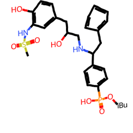 CCC(C)OP(=O)(O)c1ccc(C(Cc2ccccc2)NCC(O)Cc2ccc(O)c(NS(C)(=O)=O)c2)cc1